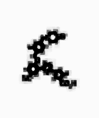 Cc1cc(CN2CC[S+]([O-])CC2)ccc1COc1ccc(C#N)cc1-c1csc(N2CC(C)C(C(=O)O)C2)n1